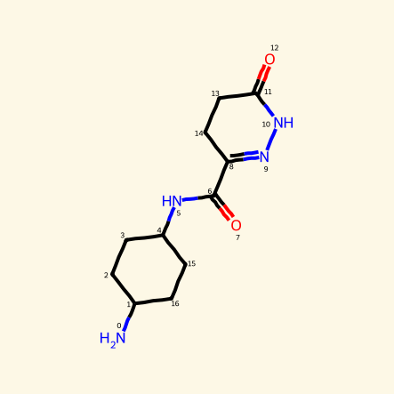 NC1CCC(NC(=O)C2=NNC(=O)CC2)CC1